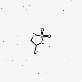 O=S1(=O)OCC(Br)O1